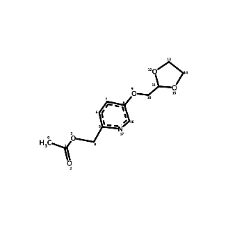 CC(=O)OCc1ccc(OCC2OCCO2)cn1